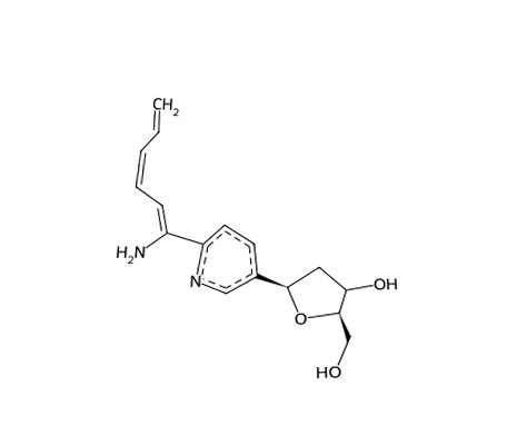 C=C/C=C\C=C(/N)c1ccc([C@H]2CC(O)[C@@H](CO)O2)cn1